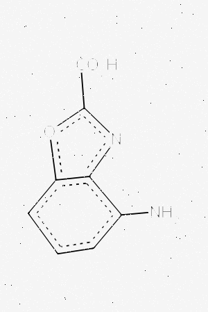 Nc1cccc2oc(C(=O)O)nc12